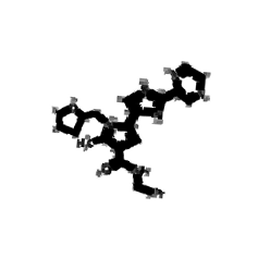 Cc1c(C(=O)NCC(C)C)cc(-c2csc(-c3cnccn3)n2)n1CC1CCCO1